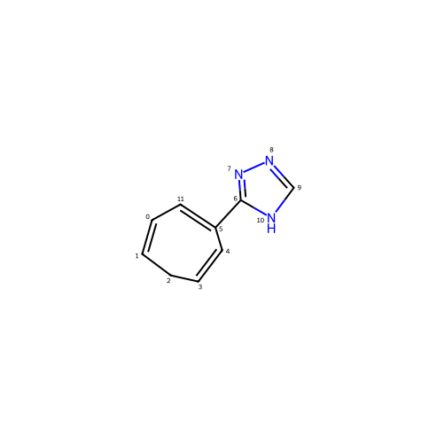 C1=CCC=CC(c2nnc[nH]2)=C1